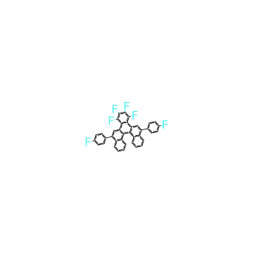 Fc1ccc(-c2cc3c4c(F)c(F)c(F)c(F)c4c4cc(-c5ccc(F)cc5)c5ccccc5c4c3c3ccccc23)cc1